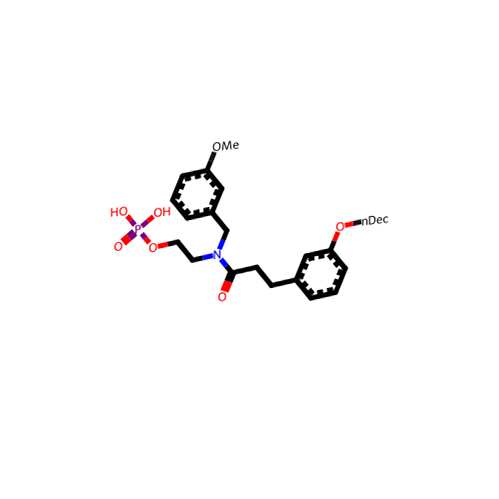 CCCCCCCCCCOc1cccc(CCC(=O)N(CCOP(=O)(O)O)Cc2cccc(OC)c2)c1